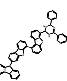 c1ccc(C2=NC(c3ccccc3)NC(c3cccc4c3sc3cccc(-c5cccc6c5sc5cc(-n7c8ccccc8c8ccccc87)ccc56)c34)N2)cc1